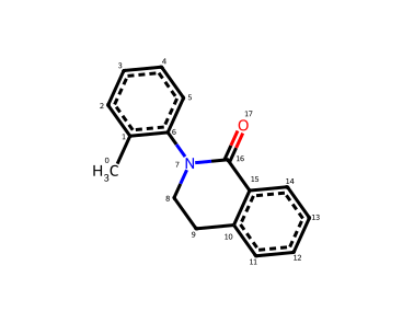 Cc1ccccc1N1CCc2ccccc2C1=O